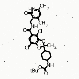 Cc1cc(C)c(CNC(=O)c2cc(Cl)c3c(c2Cl)OC(C)(C2CCC(NC(=O)OC(C)(C)C)CC2)O3)c(=O)[nH]1